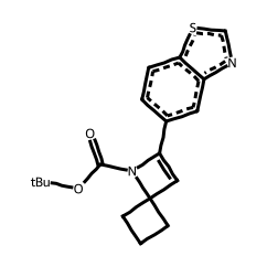 CC(C)(C)OC(=O)N1C(c2ccc3scnc3c2)=CC12CCC2